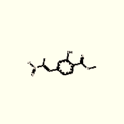 COC(=O)c1ccc(/C=C(\C)[N+](=O)[O-])cc1O